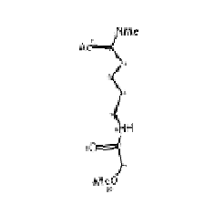 CNC(CCCCNC(=O)COC)C(C)=O